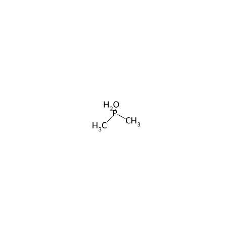 C[P]C.O